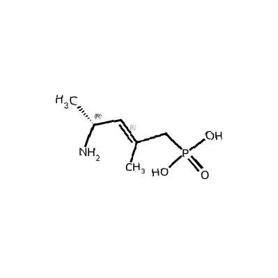 C/C(=C\[C@@H](C)N)CP(=O)(O)O